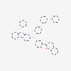 c1ccc(-c2cccc(-c3ccc(N(c4ccc5oc6c7ccccc7ccc6c5c4)c4ccc5c6ccccc6n(-c6ccccc6)c5c4)cc3)c2)cc1